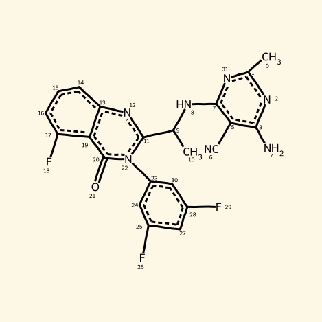 Cc1nc(N)c(C#N)c(NC(C)c2nc3cccc(F)c3c(=O)n2-c2cc(F)cc(F)c2)n1